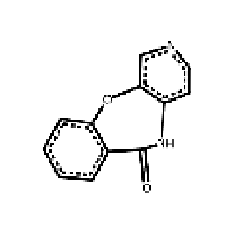 O=C1Nc2ccncc2Oc2ccccc21